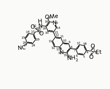 CCS(=O)(=O)c1ccc(-c2cc3cc(-c4cnc(OC)c(NS(=O)(=O)c5ccc(C#N)cc5)c4)ccc3nc2N)cc1